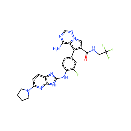 Nc1ncnn2cc(C(=O)NCC(F)(F)F)c(-c3ccc(Nc4nc5ccc(N6CCCC6)nc5[nH]4)c(F)c3)c12